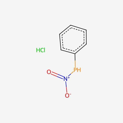 Cl.O=[N+]([O-])Pc1ccccc1